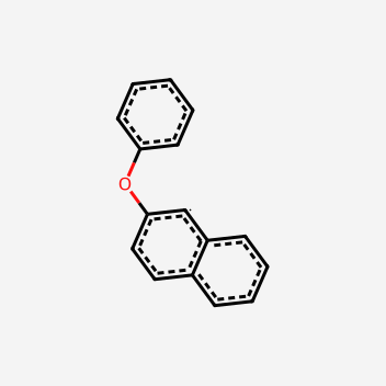 [c]1c(Oc2ccccc2)ccc2ccccc12